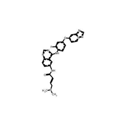 CN(C)C/C=C/C(=O)Nc1ccc2ncnc(Nc3ccc(Oc4ccn5ncnc5c4)cc3F)c2c1